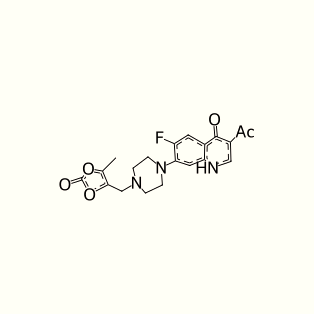 CC(=O)c1c[nH]c2cc(N3CCN(Cc4oc(=O)oc4C)CC3)c(F)cc2c1=O